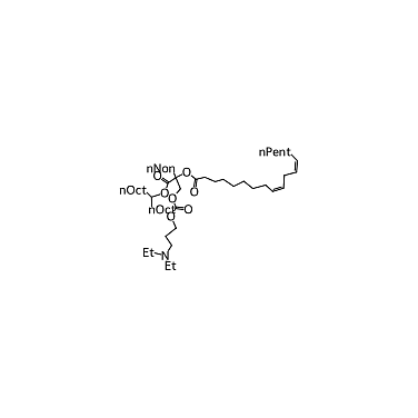 CCCCC/C=C\C/C=C\CCCCCCCC(=O)OC(CCCCCCCCC)(COC(=O)OCCCN(CC)CC)C(=O)OC(CCCCCCCC)CCCCCCCC